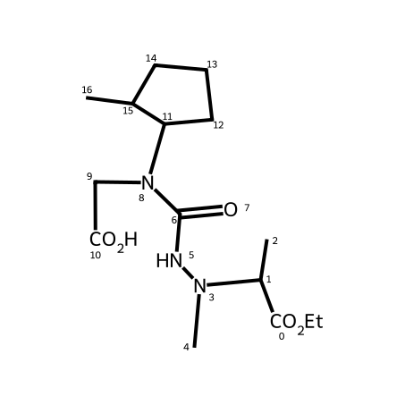 CCOC(=O)C(C)N(C)NC(=O)N(CC(=O)O)C1CCCC1C